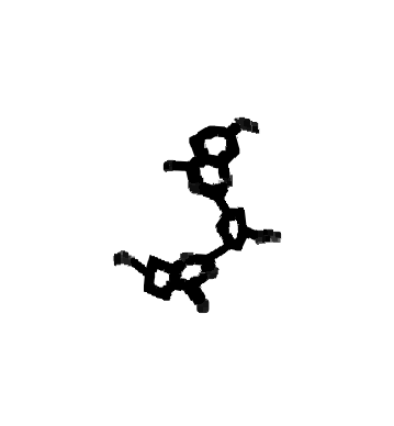 COc1cc(-c2nc3cc(C(C)(C)C)ccc3c(=O)o2)cc(-c2nc3cc(C(C)(C)C)ccc3c(=O)o2)c1